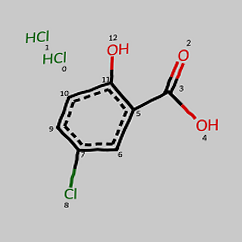 Cl.Cl.O=C(O)c1cc(Cl)ccc1O